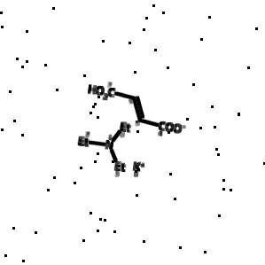 CCN(CC)CC.O=C([O-])C=CC(=O)O.[K+]